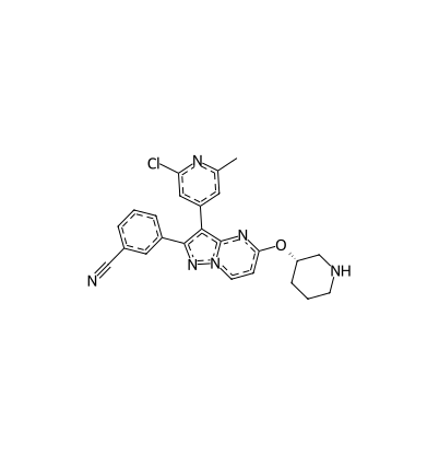 Cc1cc(-c2c(-c3cccc(C#N)c3)nn3ccc(O[C@H]4CCCNC4)nc23)cc(Cl)n1